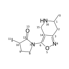 CC1Cc2noc(N3CCC(I)C3=O)c2CN1